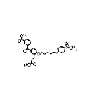 C[S+]([O-])c1ccc(/C=C/CCCCOc2ccc(C(=O)c3cccc(C(=O)O)c3)cc2CCC(=O)O)cc1